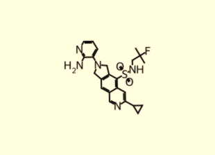 CC(C)(F)CNS(=O)(=O)c1c2c(cc3cnc(C4CC4)cc13)CN(c1cccnc1N)C2